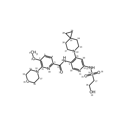 COc1ccc(C(=O)Nc2cnc(NS(=O)(=O)CCO)cc2N2CCC3(CC2)CC3)nc1N1CCOCC1